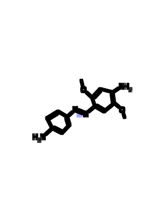 COc1cc(/N=N/c2ccc(N)cc2)c(OC)cc1N